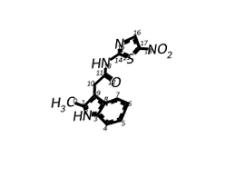 Cc1[nH]c2ccccc2c1CC(=O)Nc1ncc([N+](=O)[O-])s1